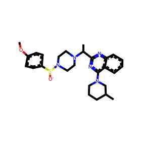 COc1ccc([S+]([O-])N2CCN(C(C)c3nc(N4CCCC(C)C4)c4ccccc4n3)CC2)cc1